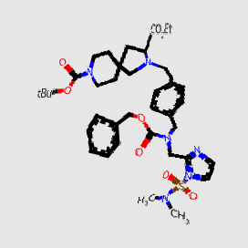 CCOC(=O)C1CC2(CCN(C(=O)OC(C)(C)C)CC2)CN1Cc1ccc(CN(Cc2nccn2S(=O)(=O)N(C)C)C(=O)OCc2ccccc2)cc1